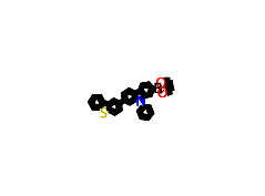 CC1(C)OB(c2ccc3c4ccc(-c5ccc6sc7ccccc7c6c5)cc4n(-c4ccccc4)c3c2)OC1(C)C